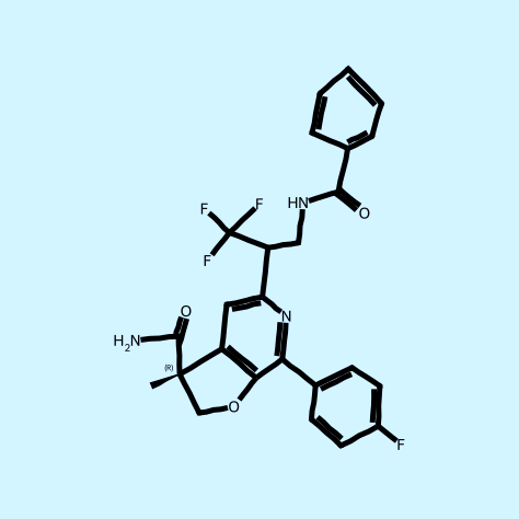 C[C@]1(C(N)=O)COc2c1cc(C(CNC(=O)c1ccccc1)C(F)(F)F)nc2-c1ccc(F)cc1